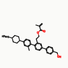 C=C(C)C(=O)OCCc1cc(-c2ccc(CO)cc2)ccc1-c1ccc(C2CCC(CCCCC)CC2)cc1C